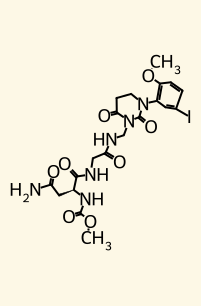 COC(=O)N[C@@H](CC(N)=O)C(=O)NCC(=O)NCN1C(=O)CCN(c2cc(I)ccc2OC)C1=O